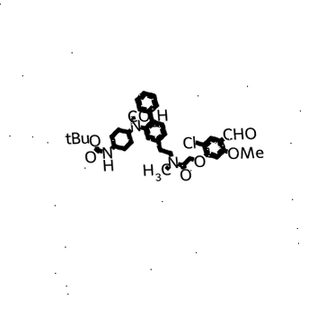 COc1cc(OCC(=O)N(C)CCc2ccc(-c3ccccc3)c(N(C(=O)O)C3CCC(NC(=O)OC(C)(C)C)CC3)c2)c(Cl)cc1C=O